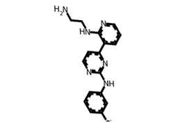 NCCNc1ncccc1-c1ccnc(Nc2cccc(Cl)c2)n1